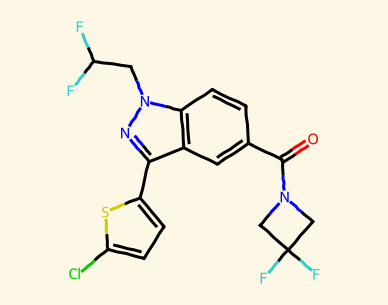 O=C(c1ccc2c(c1)c(-c1ccc(Cl)s1)nn2CC(F)F)N1CC(F)(F)C1